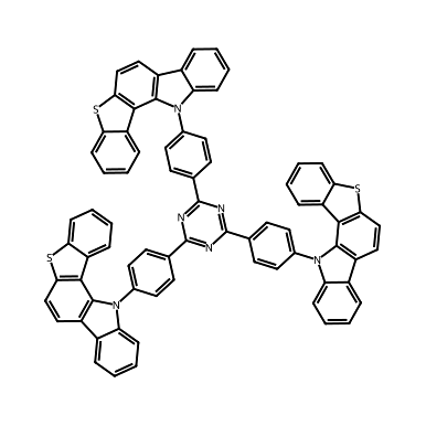 c1ccc2c(c1)sc1ccc3c4ccccc4n(-c4ccc(-c5nc(-c6ccc(-n7c8ccccc8c8ccc9sc%10ccccc%10c9c87)cc6)nc(-c6ccc(-n7c8ccccc8c8ccc9sc%10ccccc%10c9c87)cc6)n5)cc4)c3c12